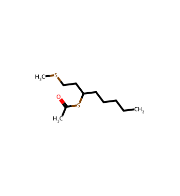 CCCCCC(CCSC)SC(C)=O